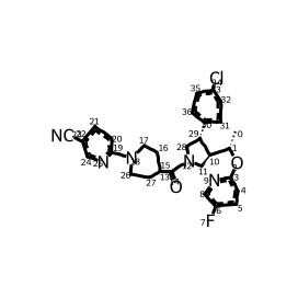 C[C@H](Oc1ccc(F)cn1)[C@H]1CN(C(=O)C2CCN(c3ccc(C#N)cn3)CC2)C[C@@H]1c1ccc(Cl)cc1